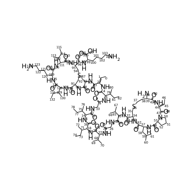 C/C=C(\NC(=O)C(NC(=O)CNC(=O)C(NC(=O)C(NC(=O)C(NC(=O)CNC(=O)C(NC(=O)C1CSCCC(N)C(=O)N/C(=C\C)C(=O)N2CCCC2C(=O)NC(CC(C)C)C(=O)N1)C(C)C)C(C)C)C(C)CC)C(C)CC)C(C)CC)C(=O)NC(C)C(=O)NC1CSCC(C(=O)NC(CCCCN)C(=O)O)NC(=O)C(C(C)CC)NC(=O)C(CCCCN)NC(=O)C(C(C)CC)NC1=O